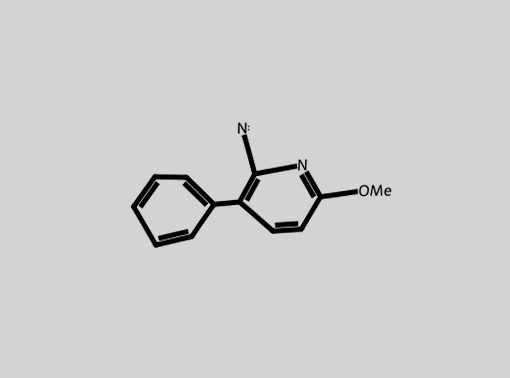 COc1ccc(-c2ccccc2)c([N])n1